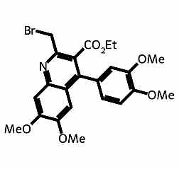 CCOC(=O)c1c(CBr)nc2cc(OC)c(OC)cc2c1-c1ccc(OC)c(OC)c1